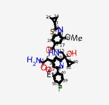 CCOc1c(CC(N)=O)cc([C@@](O)(CNC(=O)c2cc(OC)c3nc(C4CC4)sc3c2)C2CC2)nc1-c1ccc(F)cc1